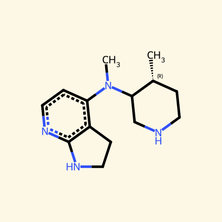 C[C@@H]1CCNCC1N(C)c1ccnc2c1CCN2